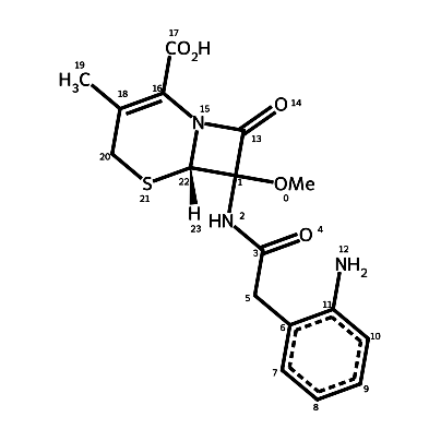 COC1(NC(=O)Cc2ccccc2N)C(=O)N2C(C(=O)O)=C(C)CS[C@H]21